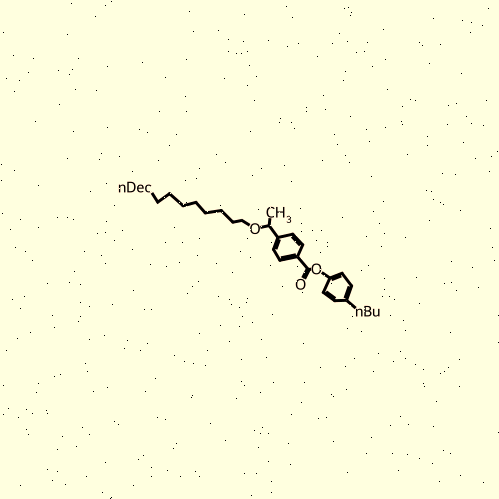 CCCCCCCCCCCCCCCCCCOC(C)c1ccc(C(=O)Oc2ccc(CCCC)cc2)cc1